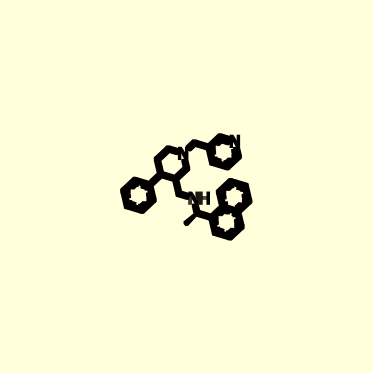 C[C@@H](NCC1CN(Cc2cccnc2)CCC1c1ccccc1)c1cccc2ccccc12